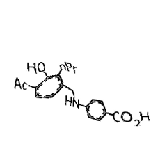 CCCc1c(CNc2ccc(C(=O)O)cc2)ccc(C(C)=O)c1O